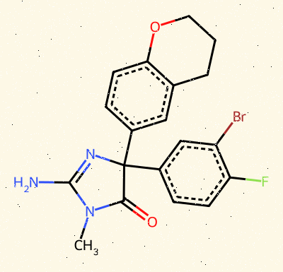 CN1C(=O)C(c2ccc(F)c(Br)c2)(c2ccc3c(c2)CCCO3)N=C1N